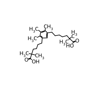 Cc1c(CCCCCC(C)(C)C(=O)O)cc(CCCCC(C)(C)C(=O)O)c(C)c1C